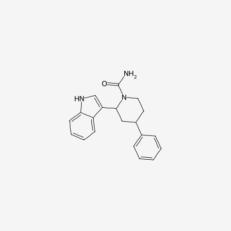 NC(=O)N1CCC(c2ccccc2)CC1c1c[nH]c2ccccc12